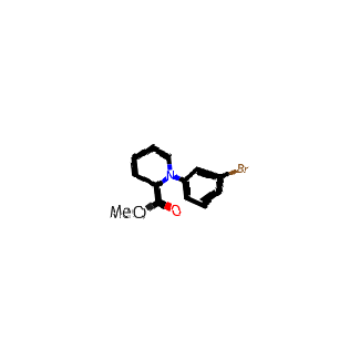 COC(=O)C1CCCCN1c1cccc(Br)c1